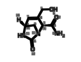 NC(=O)[C@@H]1C(CO)=C[C@@H]2CN1C(=O)N2